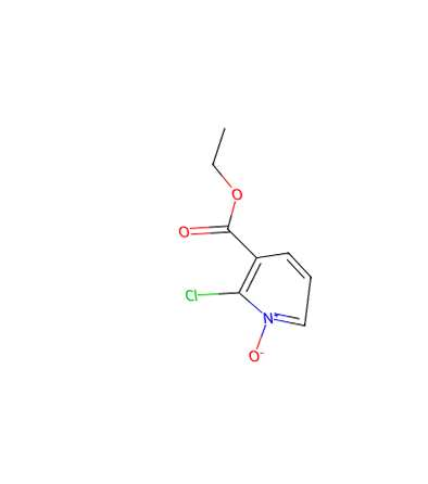 CCOC(=O)c1ccc[n+]([O-])c1Cl